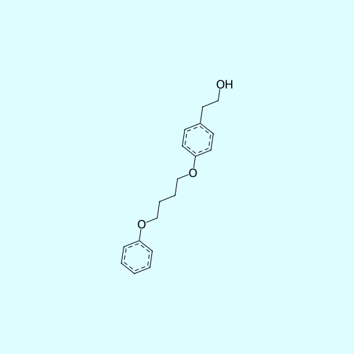 OCCc1ccc(OCCCCOc2ccccc2)cc1